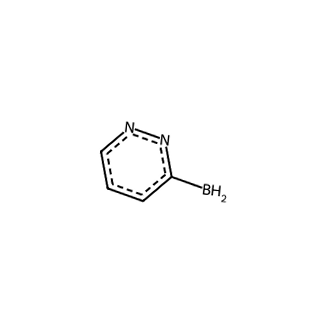 Bc1cccnn1